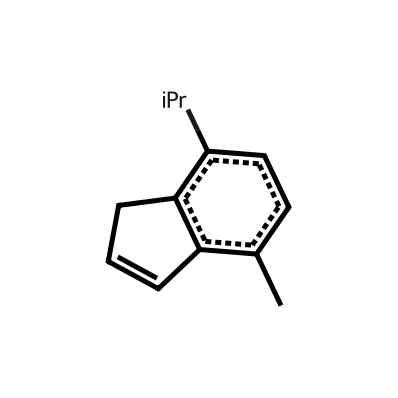 Cc1ccc(C(C)C)c2c1C=CC2